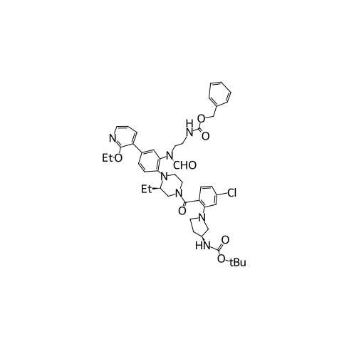 CCOc1ncccc1-c1ccc(N2CCN(C(=O)c3ccc(Cl)cc3N3CC[C@H](NC(=O)OC(C)(C)C)C3)C[C@H]2CC)c(N(C=O)CCNC(=O)OCc2ccccc2)c1